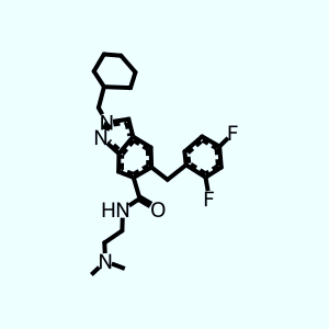 CN(C)CCNC(=O)c1cc2nn(CC3CCCCC3)cc2cc1Cc1ccc(F)cc1F